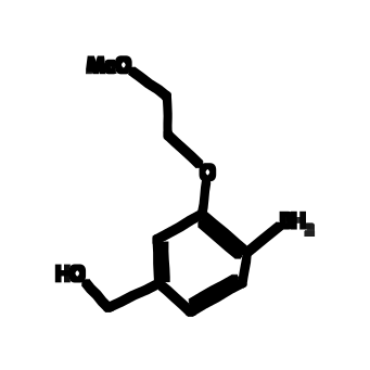 Bc1ccc(CO)cc1OCCOC